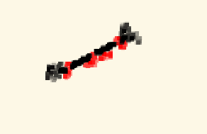 C=C(C)C(=O)OCCCCC(O)COCC(O)CCCCOC(=O)C(=C)C